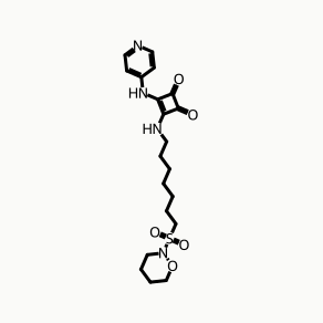 O=c1c(NCCCCCCCS(=O)(=O)N2CCCCO2)c(Nc2ccncc2)c1=O